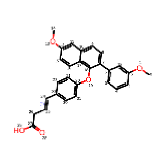 COc1cccc(-c2ccc3cc(OC)ccc3c2Oc2ccc(/C=C/CC(=O)O)cc2)c1